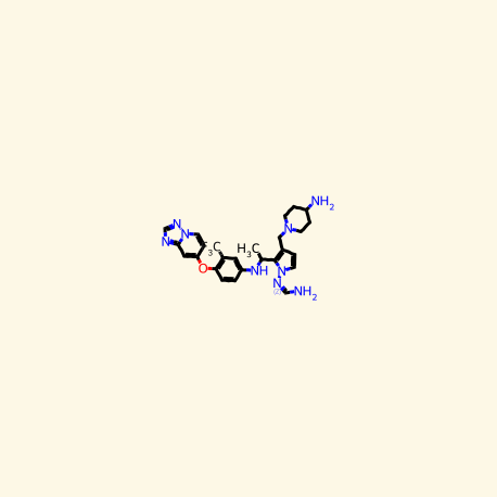 CC(Nc1ccc(Oc2ccn3ncnc3c2)c(C(F)(F)F)c1)c1c(CN2CCC(N)CC2)ccn1/N=C\N